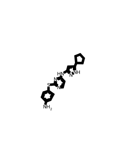 Nc1ccc(Sc2nccc(Nc3cc(C4CCCC4)[nH]n3)n2)cc1